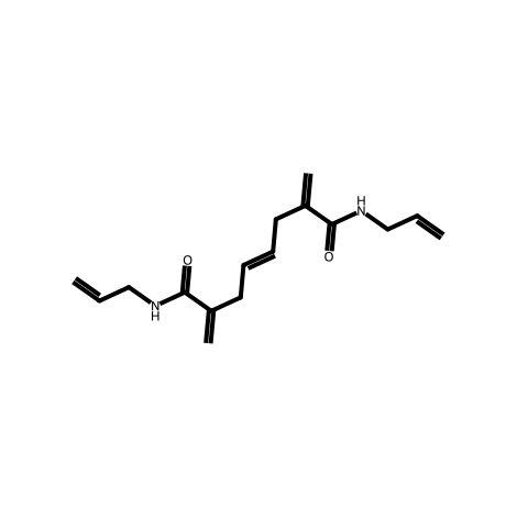 C=CCNC(=O)C(=C)C/C=C/CC(=C)C(=O)NCC=C